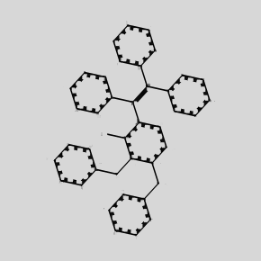 Brc1c(C(=C(c2ccccc2)c2ccccc2)c2ccccc2)ccc(Cc2ccccc2)c1Cc1ccccc1